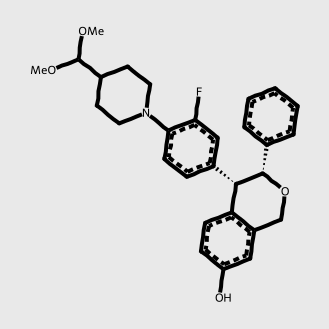 COC(OC)C1CCN(c2ccc([C@H]3c4ccc(O)cc4CO[C@H]3c3ccccc3)cc2F)CC1